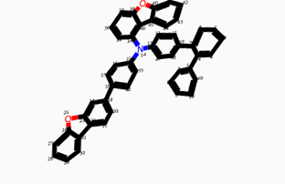 c1ccc(-c2ccccc2-c2ccc(N(c3ccc(-c4ccc5c(c4)oc4ccccc45)cc3)c3cccc4oc5ccccc5c34)cc2)cc1